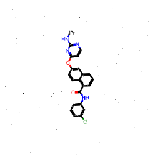 CC(C)Nc1nccc(Oc2ccc3c(C(=O)Nc4cccc(Cl)c4)cccc3c2)n1